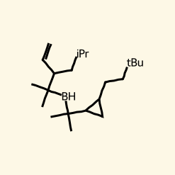 C=CC(CC(C)C)C(C)(C)BC(C)(C)C1CC1CCC(C)(C)C